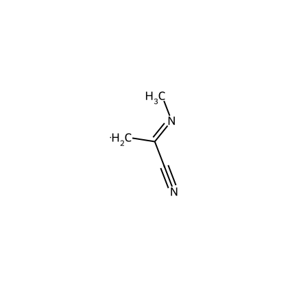 [CH2]/C(C#N)=N\C